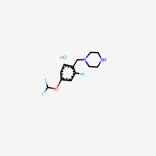 Cl.Fc1cc(OC(F)F)ccc1CN1CCNCC1